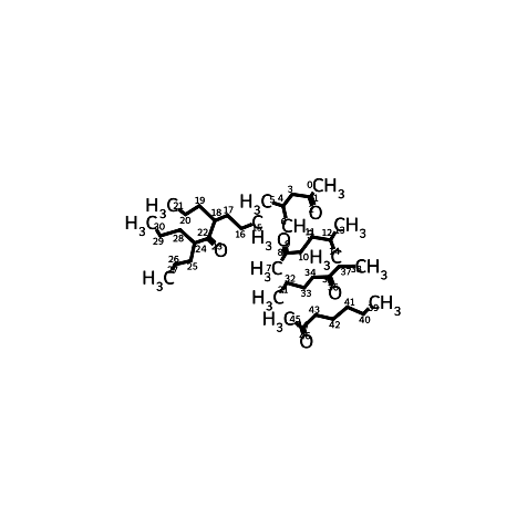 CC(=O)CC(C)C.CC(=O)CCC(C)C.CCCC(CCC)C(=O)C(CCC)CCC.CCCCC(=O)CC.CCCCCC(C)=O